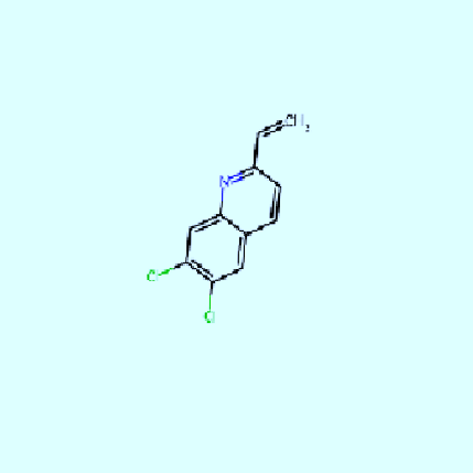 C=Cc1ccc2cc(Cl)c(Cl)cc2n1